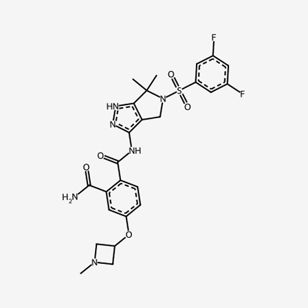 CN1CC(Oc2ccc(C(=O)Nc3n[nH]c4c3CN(S(=O)(=O)c3cc(F)cc(F)c3)C4(C)C)c(C(N)=O)c2)C1